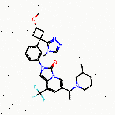 CO[C@H]1C[C@@](c2cccc(-n3cc4c(C(F)(F)F)cc([C@H](C)N5CCC[C@H](C)C5)cn4c3=O)c2)(c2nncn2C)C1